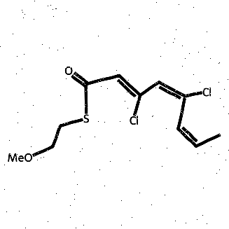 C\C=C/C(Cl)=C\C(Cl)=C\C(=O)SCCOC